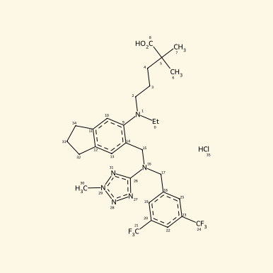 CCN(CCCC(C)(C)C(=O)O)c1cc2c(cc1CN(Cc1cc(C(F)(F)F)cc(C(F)(F)F)c1)c1nnn(C)n1)CCC2.Cl